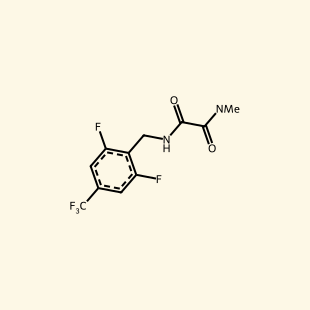 CNC(=O)C(=O)NCc1c(F)cc(C(F)(F)F)cc1F